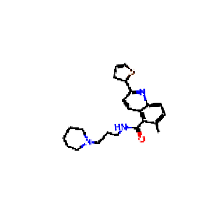 Cc1ccc2nc(C3CC=CS3)ccc2c1C(=O)NCCCN1CCCCC1